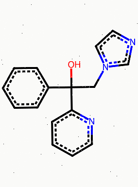 OC(Cn1ccnc1)(c1ccccc1)c1ccccn1